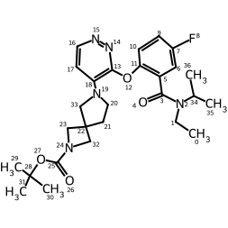 CCN(C(=O)c1cc(F)ccc1Oc1nnccc1N1CCC2(CN(C(=O)OC(C)(C)C)C2)C1)C(C)C